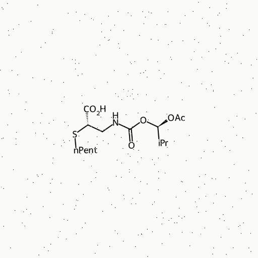 CCCCCS[C@@H](CNC(=O)O[C@@H](OC(C)=O)C(C)C)C(=O)O